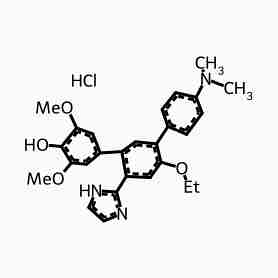 CCOc1cc(-c2ncc[nH]2)c(-c2cc(OC)c(O)c(OC)c2)cc1-c1ccc(N(C)C)cc1.Cl